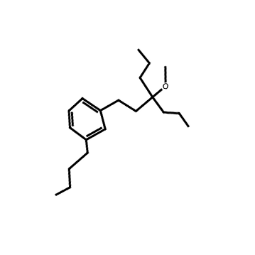 CCCCc1cccc(CCC(CCC)(CCC)OC)c1